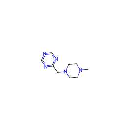 CN1CCN(Cc2ncncn2)CC1